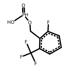 O=[PH](O)OCc1c(F)cccc1C(F)(F)F